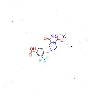 CC(C)(C)OC(=O)N1CCN(Cc2ccc(C(=O)O)cc2C(F)(F)F)CC1C(N)=O